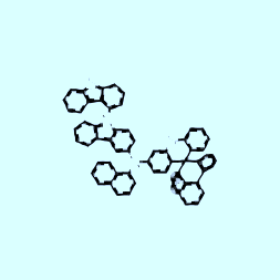 c1ccc2c(c1)Sc1cc(N(c3ccc4c(c3)c3ccccc3n4-c3cccc4sc5ccccc5c34)c3cccc4ccccc34)ccc1C21c2ccccc2-c2cccc3cccc1c23